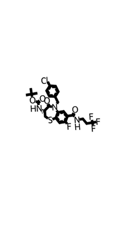 CC(C)(C)OC(=O)N[C@H]1CSc2cc(F)c(C(=O)NCCC(F)(F)F)cc2N(Cc2ccc(Cl)cc2)C1=O